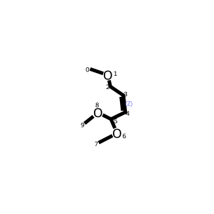 COC/C=C\C(OC)OC